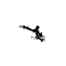 CCC(=O)NCCNC(=O)/N=C(/N)NCCC[C@@H](NC(=O)[C@@H](c1ccc(CCCOCCOCCNC(=O)OC(C)(C)C)cc1)N1Cc2ccccc2C1)C(=O)NCc1c(F)cc(O)cc1F